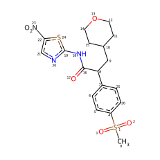 CS(=O)(=O)c1ccc(C(CC2CCOCC2)C(=O)Nc2ncc([N+](=O)[O-])s2)cc1